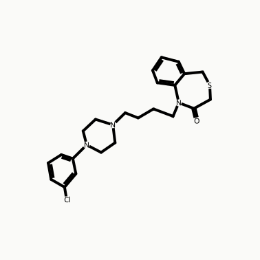 O=C1CSCc2ccccc2N1CCCCN1CCN(c2cccc(Cl)c2)CC1